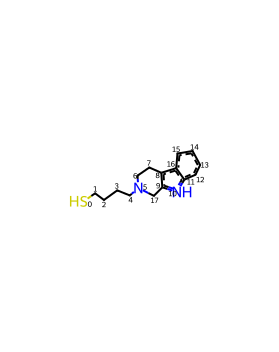 SCCCCN1CCc2c([nH]c3ccccc23)C1